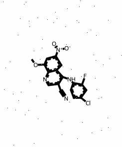 COc1cc([N+](=O)[O-])cc2c(Nc3ccc(Cl)cc3F)c(C#N)cnc12